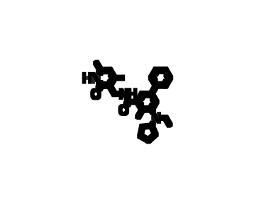 CCN(c1cc(-c2ccccc2)cc(C(=O)NCc2c(C)cc(C)[nH]c2=O)c1C)C1CCCC1